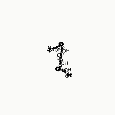 C=C(C)C(=O)OCC(O)COc1ccccc1OCC(O)COC(=O)CC(=O)OCC(O)COc1ccccc1OCC(O)COC(=O)C(=C)C